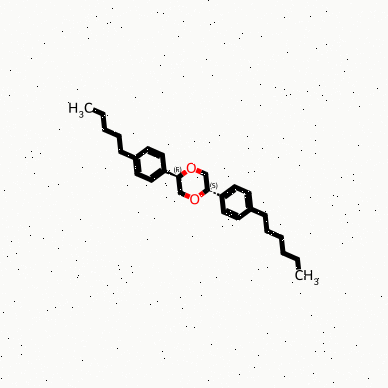 CCCCCCc1ccc([C@H]2CO[C@H](c3ccc(CCCCC)cc3)CO2)cc1